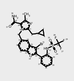 Cc1nc(CC2CC2)n(Cc2ccc3oc(-c4ccccc4NS(=O)(=O)C(F)(F)F)c(Br)c3c2)c1C(N)=O